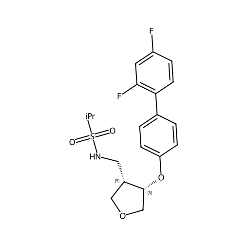 CC(C)S(=O)(=O)NC[C@H]1COC[C@H]1Oc1ccc(-c2ccc(F)cc2F)cc1